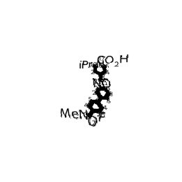 CNC(=O)c1ccc(-c2ccc3oc(C4CCN(C(=O)O)C(C(C)C)C4)nc3c2)cc1F